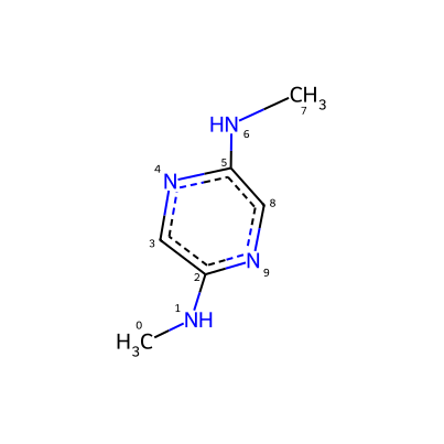 CNc1cnc(NC)cn1